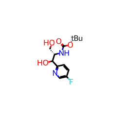 CC(C)(C)OC(=O)N[C@@H](CO)C(O)c1ccc(F)cn1